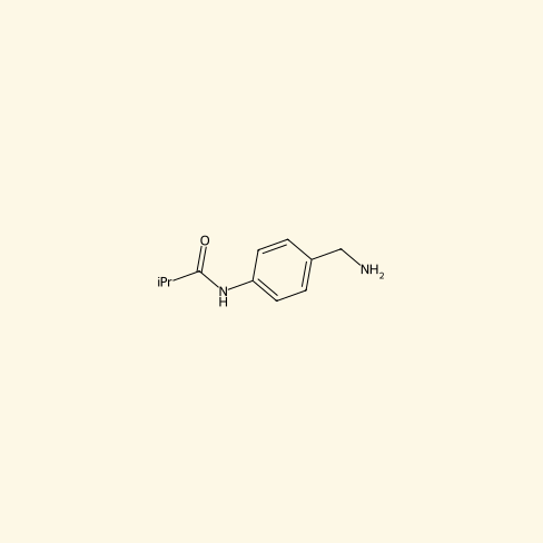 CC(C)C(=O)Nc1ccc(CN)cc1